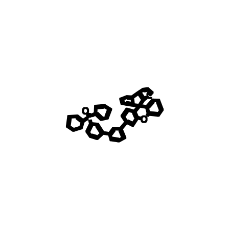 O=P(C1=CC=CCC1)(c1ccccc1)c1cccc(-c2cccc(-c3ccc4c(c3)Oc3ccccc3C43C4=C(C=CCC4)c4ccccc43)c2)c1